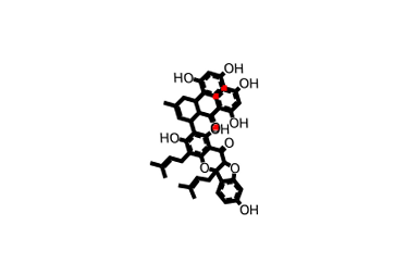 CC(C)=CCc1c(O)c(C2C=C(C)CC(c3ccc(O)cc3O)C2C(=O)c2ccc(O)cc2O)c(O)c2c1OC1(CC=C(C)C)c3ccc(O)cc3OC1C2=O